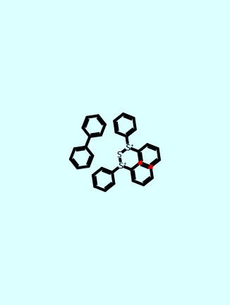 c1ccc(-c2ccccc2)cc1.c1ccc([S+](S[S+](c2ccccc2)c2ccccc2)c2ccccc2)cc1